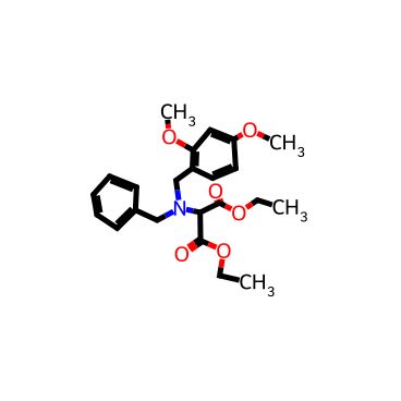 CCOC(=O)C(C(=O)OCC)N(Cc1ccccc1)Cc1ccc(OC)cc1OC